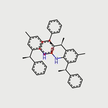 Cc1cc([C@H](C)c2ccccc2)c(NC(=O)Nc2c([C@H](C)c3ccccc3)cc(C)cc2[C@H](C)c2ccccc2)c([C@H](C)c2ccccc2)c1